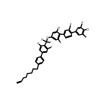 C=CCCCCCCc1ccc(-c2cc(F)c(C(F)(F)Oc3cc(F)c(-c4ccc(-c5cc(F)c(Cl)c(F)c5)c(F)c4)c(Cl)c3)c(F)c2)cc1